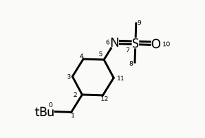 CC(C)(C)CC1CCC(N=S(C)(C)=O)CC1